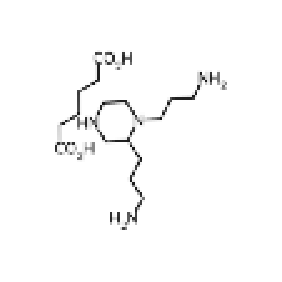 NCCCC1CNCCN1CCCN.O=C(O)CCCCC(=O)O